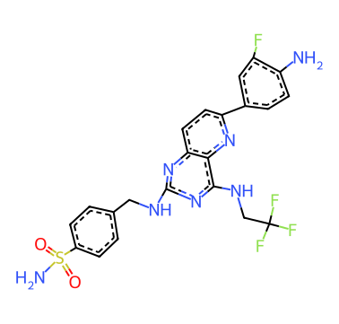 Nc1ccc(-c2ccc3nc(NCc4ccc(S(N)(=O)=O)cc4)nc(NCC(F)(F)F)c3n2)cc1F